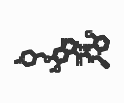 C#CC/N=C(\Nc1c(C)cccc1Cl)Nc1ncnc2cc(OCC3CCN(C)CC3)c(OC)cc12